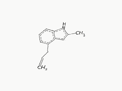 C=CCc1cccc2[nH]c(C)[c]c12